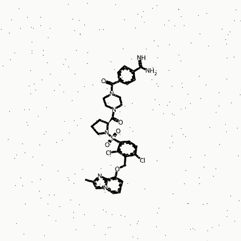 Cc1cn2cccc(OCc3c(Cl)ccc(S(=O)(=O)N4CCC[C@H]4C(=O)N4CCN(C(=O)c5ccc(C(=N)N)cc5)CC4)c3Cl)c2n1